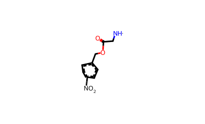 [NH]CC(=O)OCc1ccc([N+](=O)[O-])cc1